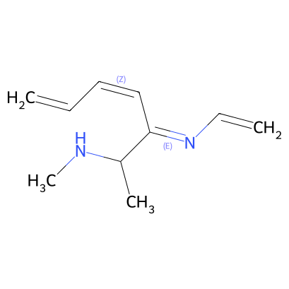 C=C/C=C\C(=N/C=C)C(C)NC